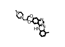 Cc1cccc(Nc2ncnc3cc4c(cc23)O[C@@H](CN2CCN(C)CC2)CO4)c1F